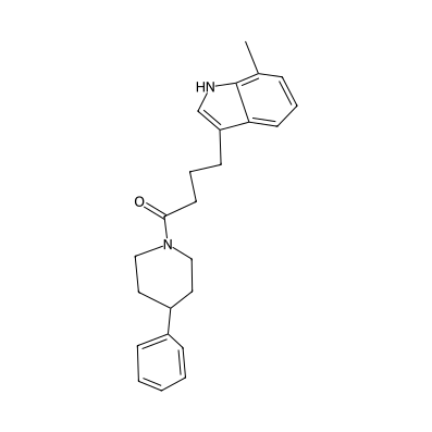 Cc1cccc2c(CCCC(=O)N3CCC(c4ccccc4)CC3)c[nH]c12